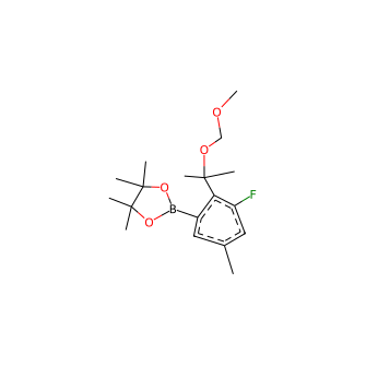 COCOC(C)(C)c1c(F)cc(C)cc1B1OC(C)(C)C(C)(C)O1